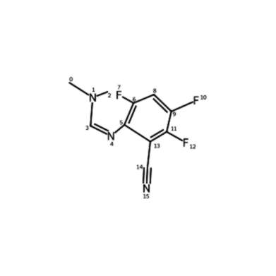 CN(C)/C=N\c1c(F)cc(F)c(F)c1C#N